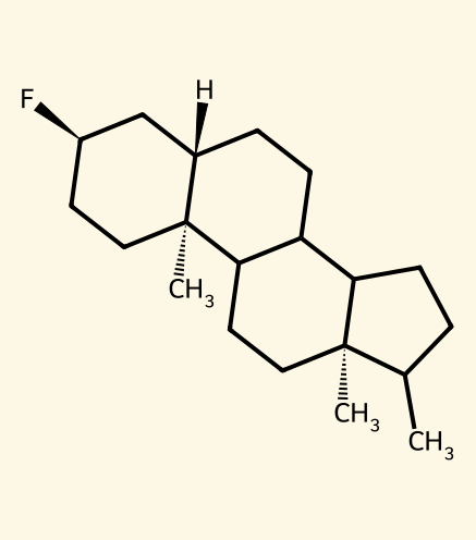 CC1CCC2C3CC[C@H]4C[C@H](F)CC[C@]4(C)C3CC[C@]12C